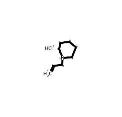 C=CCN1CCCCC1.Cl